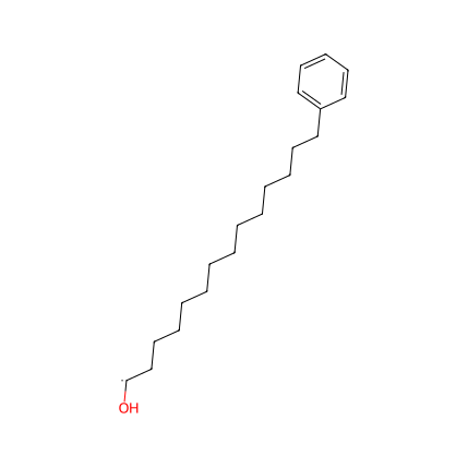 O[CH]CCCCCCCCCCCCCc1ccccc1